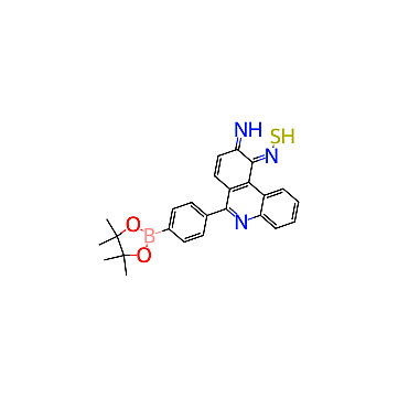 CC1(C)OB(c2ccc(-c3nc4ccccc4c4c3C=CC(=N)/C4=N\S)cc2)OC1(C)C